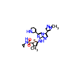 CC1C=C(Nc2nc(C3=CCCNC3)cn3c(-c4cnn(C)c4)cnc23)SC1S(=O)(=O)NC1CC1